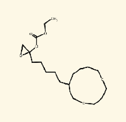 CCOC(=O)OC1(CCCCCC2CCCCCCCCCCC2)CO1